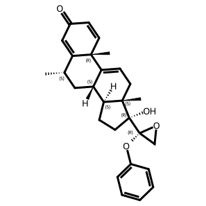 C[C@H]1C[C@@H]2C(=CC[C@@]3(C)[C@H]2CC[C@]3(O)[C@]2(Oc3ccccc3)CO2)[C@@]2(C)C=CC(=O)C=C12